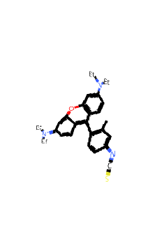 CCN(CC)c1ccc2c(-c3ccc(N=C=S)cc3C)c3ccc(=[N+](CC)CC)cc-3oc2c1